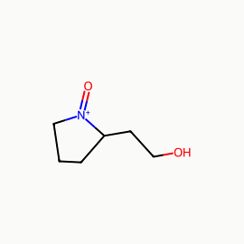 O=[N+]1CCCC1CCO